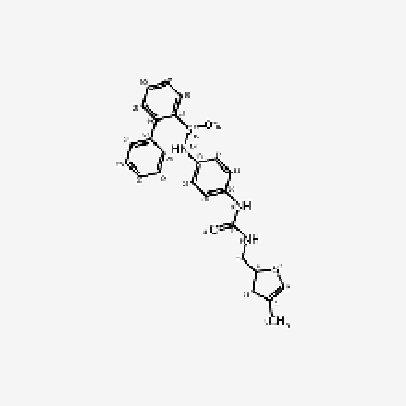 CC1=CSC(CNC(=O)Nc2ccc(N[S+]([O-])c3ccccc3-c3ccccc3)cc2)C1